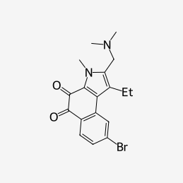 CCc1c2c(n(C)c1CN(C)C)C(=O)C(=O)c1ccc(Br)cc1-2